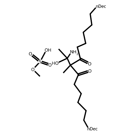 CCCCCCCCCCCCCCCC(=O)C(C)(C(=O)CCCCCCCCCCCCCCC)C(C)(N)O.COS(=O)(=O)O